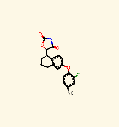 [C-]#[N+]c1ccc(Oc2ccc3c(c2)CCC[C@H]3[C@H]2OC(=O)NC2=O)c(Cl)c1